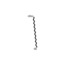 CCCCCCCCCCCCCCCCCCCCCCCCCC[CH2][Sb]